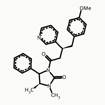 COc1ccc(C[C@@H](CC(=O)N2C(=O)N(C)[C@@H](C)C2c2ccccc2)c2cccnc2)cc1